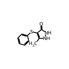 Cc1[nH][nH]c(=O)c1Sc1ccccc1